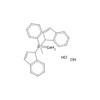 Cl.Cl.[CH3][Zr](=[GeH2])([c]1ccccc1)([CH]1C=Cc2ccccc21)[CH]1C=Cc2ccccc21